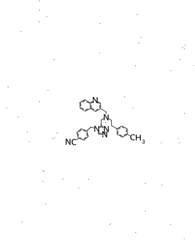 Cc1ccc(CCN(Cc2cnc3ccccc3c2)Cc2nncn2Cc2ccc(C#N)cc2)cc1